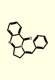 O=c1c2ccccc2nc2n1/C(=C\c1ccccc1)CC2